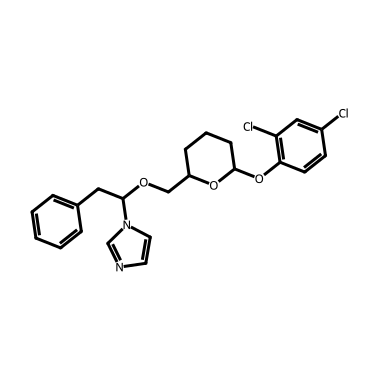 Clc1ccc(OC2CCCC(COC(Cc3ccccc3)n3ccnc3)O2)c(Cl)c1